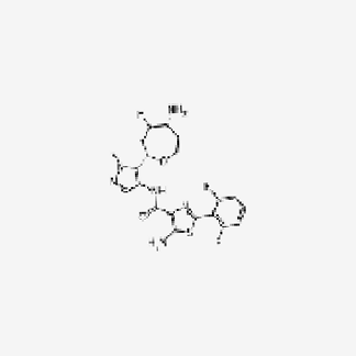 Cn1ncc(NC(=O)c2nc(-c3c(F)cccc3F)sc2N)c1[C@@H]1CC(F)[C@H](N)CCO1